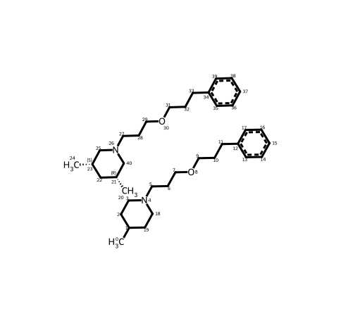 CC1CCN(CCCOCCCc2ccccc2)CC1.C[C@@H]1C[C@H](C)CN(CCCOCCCc2ccccc2)C1